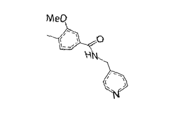 COc1cc(C(=O)NCc2ccncc2)ccc1C